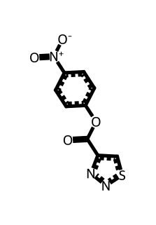 O=C(Oc1ccc([N+](=O)[O-])cc1)c1csnn1